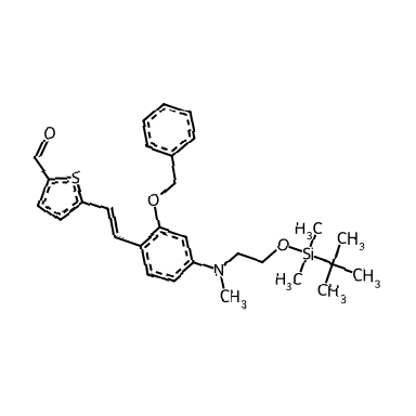 CN(CCO[Si](C)(C)C(C)(C)C)c1ccc(/C=C/c2ccc(C=O)s2)c(OCc2ccccc2)c1